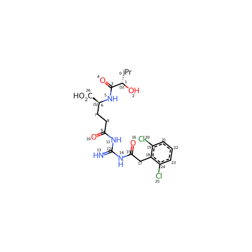 CC(C)[C@H](O)C(=O)N[C@@H](CCC(=O)NC(=N)NC(=O)Cc1c(Cl)cccc1Cl)C(=O)O